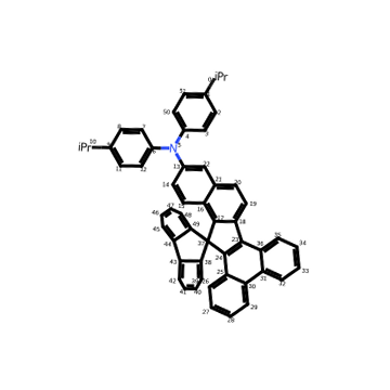 CC(C)c1ccc(N(c2ccc(C(C)C)cc2)c2ccc3c4c(ccc3c2)-c2c(c3ccccc3c3ccccc23)C42c3ccccc3-c3ccccc32)cc1